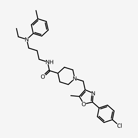 CCN(CCCNC(=O)C1CCN(Cc2nc(-c3ccc(Cl)cc3)oc2C)CC1)c1cccc(C)c1